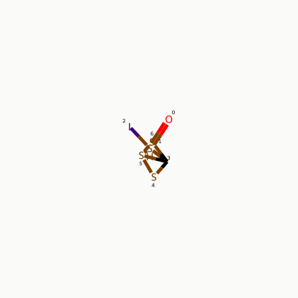 O=[SH]1(I)C23SS21S3